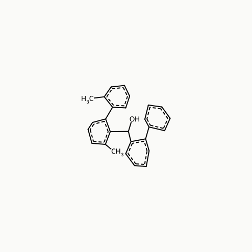 Cc1ccccc1-c1cccc(C)c1C(O)c1ccccc1-c1ccccc1